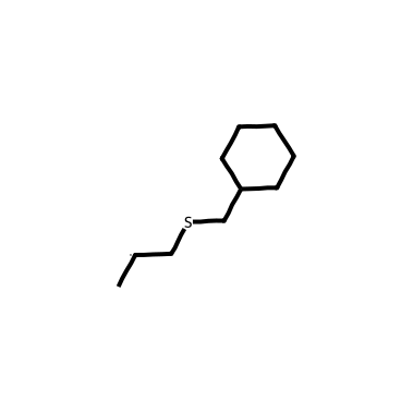 C[CH]CSCC1CCCCC1